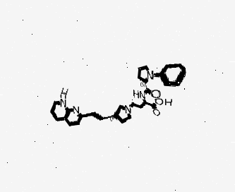 O=C(O)C(CCN1CC[C@@H](CCc2ccc3c(n2)NCCC3)C1)NC(=O)[C@@H]1CCCN1c1ccccc1